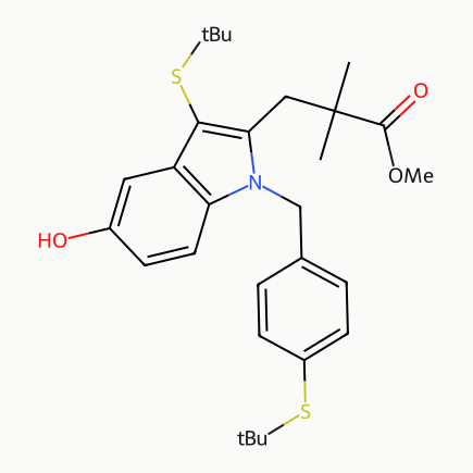 COC(=O)C(C)(C)Cc1c(SC(C)(C)C)c2cc(O)ccc2n1Cc1ccc(SC(C)(C)C)cc1